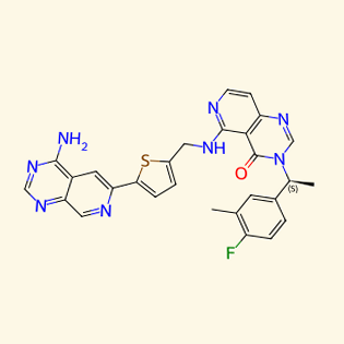 Cc1cc([C@H](C)n2cnc3ccnc(NCc4ccc(-c5cc6c(N)ncnc6cn5)s4)c3c2=O)ccc1F